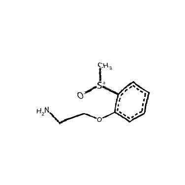 C[S+]([O-])c1ccccc1OCCN